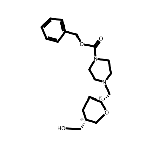 O=C(OCc1ccccc1)N1CCN(C[C@H]2CC[C@@H](CO)CO2)CC1